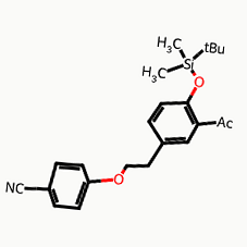 CC(=O)c1cc(CCOc2ccc(C#N)cc2)ccc1O[Si](C)(C)C(C)(C)C